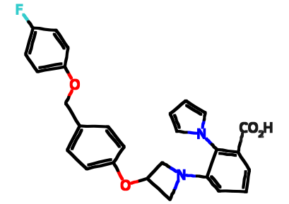 O=C(O)c1cccc(N2CC(Oc3ccc(COc4ccc(F)cc4)cc3)C2)c1-n1cccc1